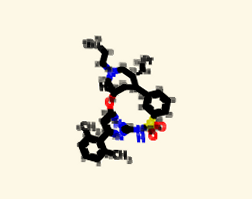 Cc1cccc(C)c1-c1cc2nc(n1)NS(=O)(=O)c1cccc(c1)C1C[C@@H](CN(CCC(C)(C)C)C[C@@H]1CC(C)C)O2